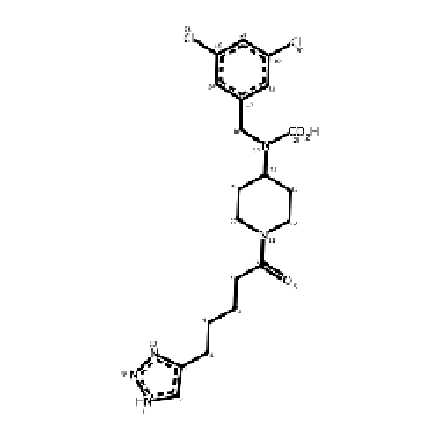 O=C(CCCCc1c[nH]nn1)N1CCC(N(Cc2cc(Cl)cc(Cl)c2)C(=O)O)CC1